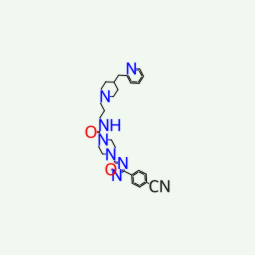 N#Cc1ccc(-c2noc(N3CCN(C(=O)NCCCN4CCC(Cc5ccccn5)CC4)CC3)n2)cc1